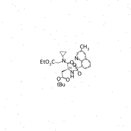 CCOC(=O)CN(C(=O)[C@H](CC(=O)OC(C)(C)C)NS(=O)(=O)c1cccc2cc(C)cnc12)C1CC1